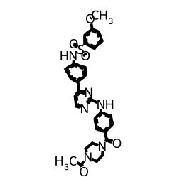 COc1cccc(S(=O)(=O)Nc2ccc(-c3ccnc(Nc4ccc(C(=O)N5CCN(C(C)=O)CC5)cc4)n3)cc2)c1